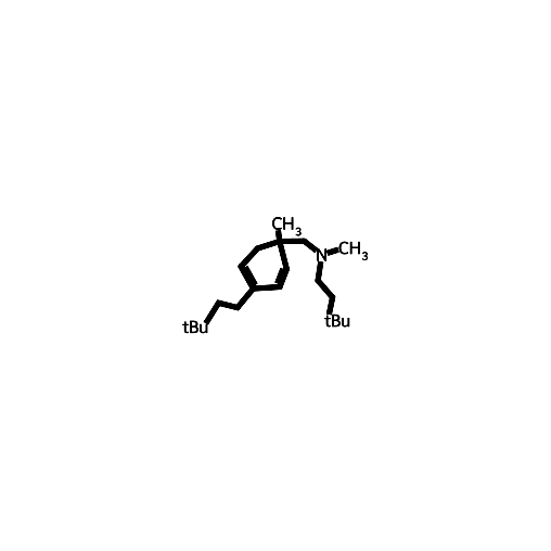 CN(CCC(C)(C)C)CC1(C)C=CC(CCC(C)(C)C)=CC1